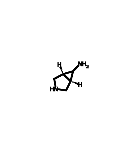 NC1[C@H]2CNC[C@@H]12